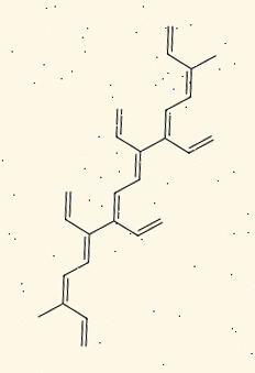 C=C\C(C)=C/C=C(C=C)/C(C=C)=C/C=C(C=C)/C(C=C)=C/C=C(/C)C=C